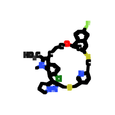 Cn1c(C(=O)O)c2c3ccc(Cl)c(c31)-c1c(nn3c1CCC3)CSCc1ccc(nc1)CSc1cc(c3ccc(F)cc3c1)OCCC2